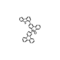 O=c1c2ccccc2c2cc(-c3cccc4c3sc3ccccc34)ccc2n1-c1ccc2c3ccccc3c3ccccc3c2c1